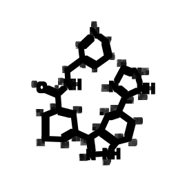 O=C(NCc1cccnc1)c1cccc(-c2n[nH]c3ccc(-c4ncn[nH]4)cc23)c1